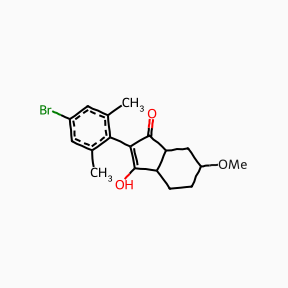 COC1CCC2C(O)=C(c3c(C)cc(Br)cc3C)C(=O)C2C1